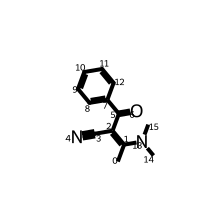 CC(=C(C#N)C(=O)c1ccccc1)N(C)C